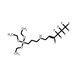 CCO[Si](CCCNC/C=C(\F)C(F)(F)C(F)(F)C(F)(F)F)(OCC)OCC